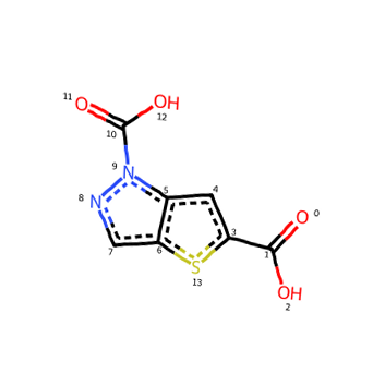 O=C(O)c1cc2c(cnn2C(=O)O)s1